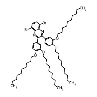 CCCCCCCCCCOc1ccc(-c2nc3c(Br)ccc(Br)c3nc2-c2ccc(OCCCCCCCCCC)c(OCCCCCCCCCC)c2)cc1OCCCCCCCCCC